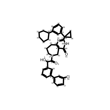 O=C(C(O)c1cccc(-c2cccc(Cl)c2)c1)N1CCCc2nc(C3(c4cccc(C5CCCCC5)c4)CC3)[nH]c(=O)c2C1